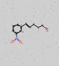 O=[N+]([O-])c1cccc(/C=C/CCCBr)c1